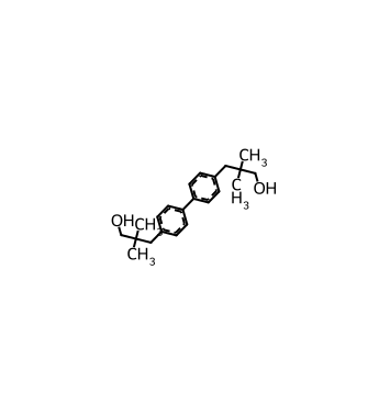 CC(C)(CO)Cc1ccc(-c2ccc(CC(C)(C)CO)cc2)cc1